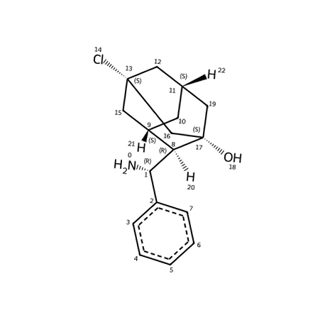 N[C@@H](c1ccccc1)[C@H]1[C@H]2C[C@@H]3C[C@](Cl)(C2)C[C@@]1(O)C3